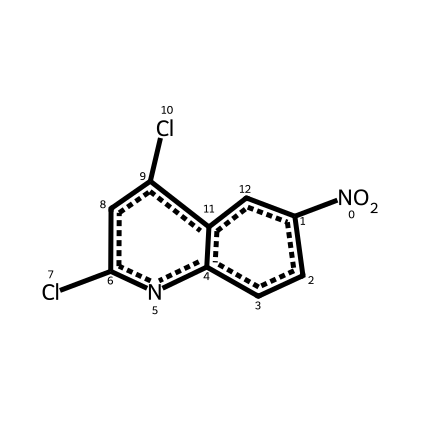 O=[N+]([O-])c1ccc2nc(Cl)cc(Cl)c2c1